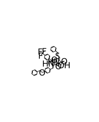 O=C(NC(CSCc1ccccc1)C(=O)O)C(=Cc1ccc(OCc2ccccc2)cc1)NC(=O)c1ccc(C(F)(F)F)cc1